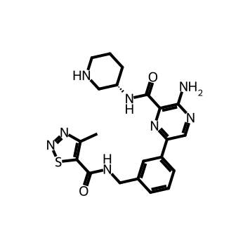 Cc1nnsc1C(=O)NCc1cccc(-c2cnc(N)c(C(=O)N[C@H]3CCCNC3)n2)c1